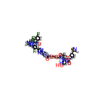 Cc1ncsc1-c1ccc(CNC(=O)[C@@H]2C[C@@H](O)CN2C(=O)C(NC(=O)COCCOCC(=O)N2CCN(c3ncc(-c4cc(NC(=O)c5ccc(F)cc5C(F)(F)F)c(N5C[C@@H](C)N(C)[C@@H](C)C5)cc4F)cn3)CC2)C(C)(C)C)cc1